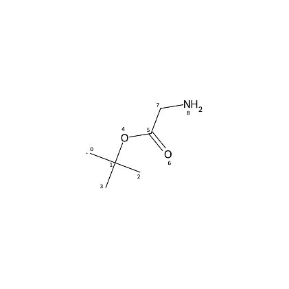 [CH2]C(C)(C)OC(=O)CN